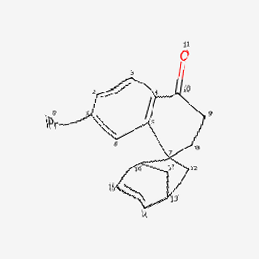 CC(C)c1ccc2c(c1)C1(CCC2=O)CC2C=CC1C2